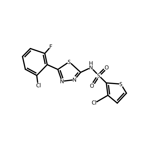 O=S(=O)(Nc1nnc(-c2c(F)cccc2Cl)s1)c1sccc1Cl